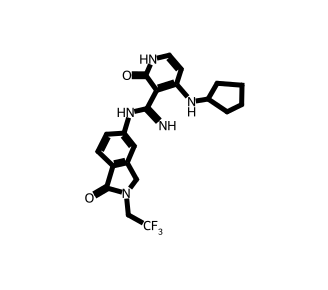 N=C(Nc1ccc2c(c1)CN(CC(F)(F)F)C2=O)c1c(NC2CCCC2)cc[nH]c1=O